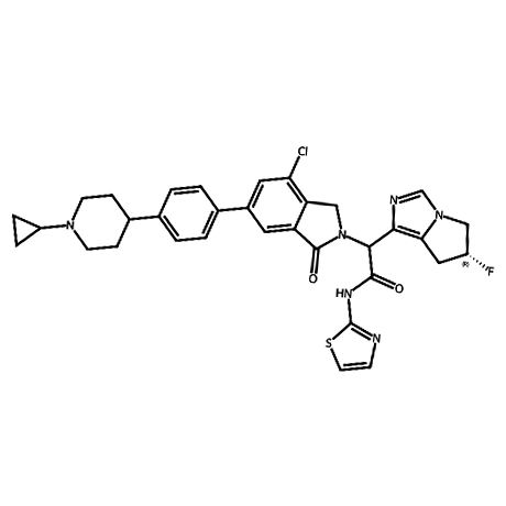 O=C(Nc1nccs1)C(c1ncn2c1C[C@@H](F)C2)N1Cc2c(Cl)cc(-c3ccc(C4CCN(C5CC5)CC4)cc3)cc2C1=O